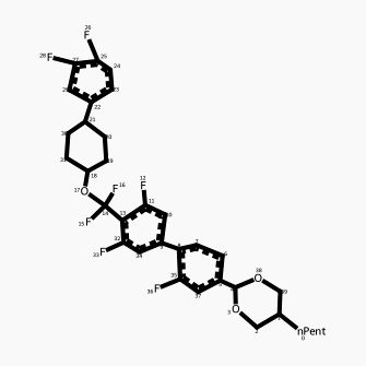 CCCCCC1COC(c2ccc(-c3cc(F)c(C(F)(F)OC4CCC(c5ccc(F)c(F)c5)CC4)c(F)c3)c(F)c2)OC1